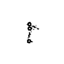 CCNC(=O)Cn1c2ccccc2c2ccc(OCCCCOc3cccc(C)c3)cc21